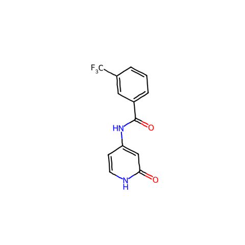 O=C(Nc1cc[nH]c(=O)c1)c1cccc(C(F)(F)F)c1